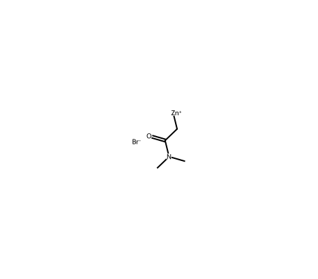 CN(C)C(=O)[CH2][Zn+].[Br-]